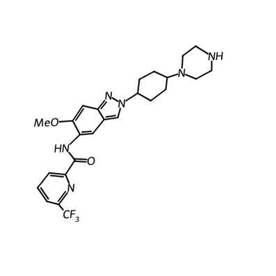 COc1cc2nn(C3CCC(N4CCNCC4)CC3)cc2cc1NC(=O)c1cccc(C(F)(F)F)n1